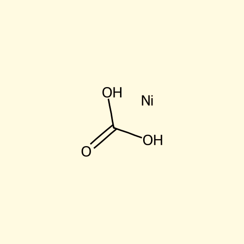 O=C(O)O.[Ni]